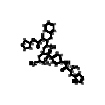 CC(C)CN(C[C@@H](O)[C@H](Cc1ccccc1)NC(=O)O[C@H]1CCOC1)S(=O)(=O)c1ccc(NC(=O)[C@@H](N)Cc2cnc[nH]2)cc1